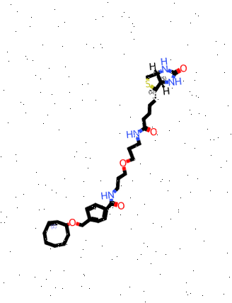 O=C(CCCC[C@@H]1SC[C@@H]2NC(=O)N[C@@H]21)NCCCOCCCNC(=O)c1ccc(COC2/C=C\CCCCC2)cc1